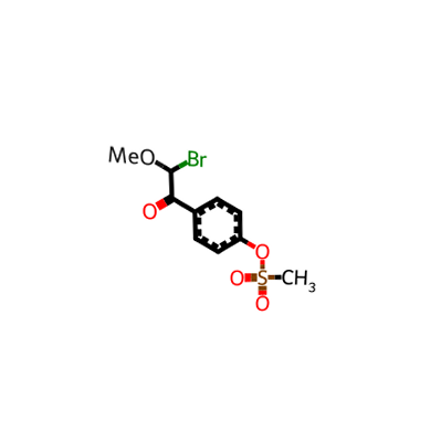 COC(Br)C(=O)c1ccc(OS(C)(=O)=O)cc1